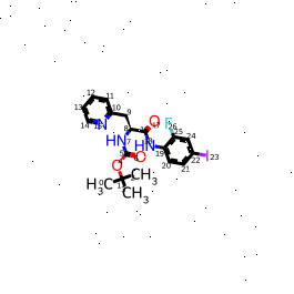 CC(C)(C)OC(=O)N[C@@H](Cc1ccccn1)C(=O)Nc1ccc(I)cc1F